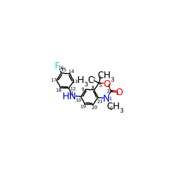 CN1C(=O)OC(C)(C)c2cc(Nc3ccc(F)cc3)ccc21